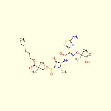 CCCCCCOC(=O)C(C)(C)COS(=O)N1C(=O)[C@@H](NC(=O)/C(=N/OC(C)(C)C(=O)O)c2csc(N)n2)[C@@H]1C